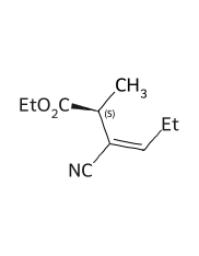 CCC=C(C#N)[C@H](C)C(=O)OCC